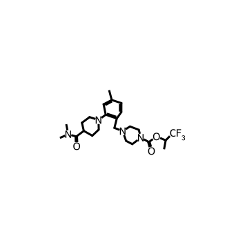 Cc1ccc(CN2CCN(C(=O)OC(C)C(F)(F)F)CC2)c(N2CCC(C(=O)N(C)C)CC2)c1